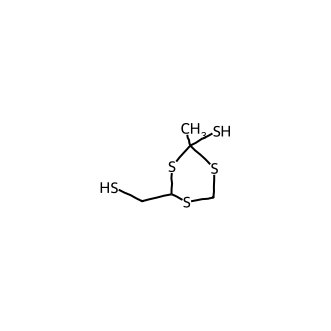 CC1(S)SCSC(CS)S1